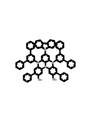 CC(C)(C)c1cc2c(cc1-c1ccccc1)N(c1cc(-c3ccccc3)cc(-c3ccccc3)c1)c1cc(-n3c4ccccc4c4ccccc43)cc3c1B2c1cc(C(C)(C)C)c(-c2ccccc2)cc1N3c1cc(-c2ccccc2)cc(-c2ccccc2)c1